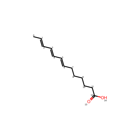 CC=CC=CC=CCCCCCC(=O)O